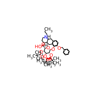 CCCN1CCC[C@@H]2Cc3c(ccc(OCc4ccccc4)c3O[C@@H]3O[C@H](C(=O)O)[C@@H](OC(=O)C(C)(C)C)[C@H](OC(=O)C(C)(C)C)[C@H]3OC(=O)C(C)(C)C)C[C@H]21